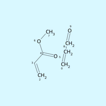 C=C.C=CC(=O)OC.C=O